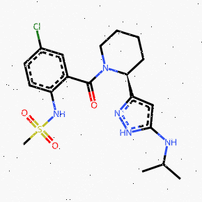 CC(C)Nc1cc([C@@H]2CCCCN2C(=O)c2cc(Cl)ccc2NS(C)(=O)=O)n[nH]1